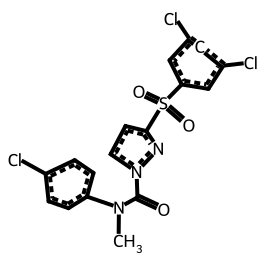 CN(C(=O)n1ccc(S(=O)(=O)c2cc(Cl)cc(Cl)c2)n1)c1ccc(Cl)cc1